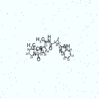 C[C@@H](NC(=O)C1C[C@H]1c1nc2ccccc2[nH]1)c1ccc(C(=O)N2CCCC2(C)C)s1